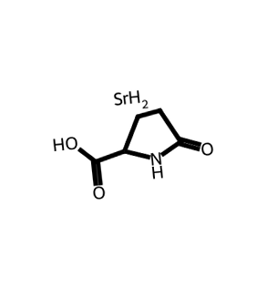 O=C1CCC(C(=O)O)N1.[SrH2]